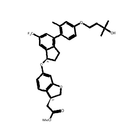 COC(=O)C[C@@H]1COc2cc(O[C@@H]3CCc4c(-c5ccc(OCCC(C)(C)O)cc5C)cc(C(F)(F)F)cc43)ccc21